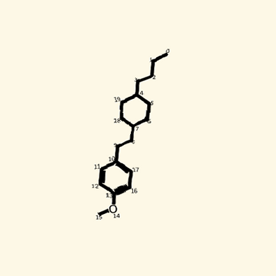 CCCCC1CCC(CCc2ccc(OC)cc2)CC1